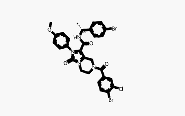 COc1ccc(-n2c(C(=O)N[C@H](C)c3ccc(Br)cc3)c3n(c2=O)CCN(C(=O)c2ccc(Br)c(Cl)c2)C3)cc1